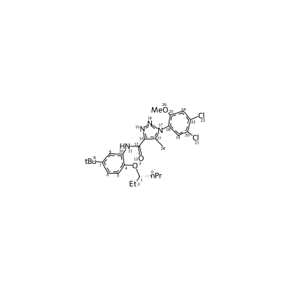 CCC[C@H](CC)Oc1ccc(C(C)(C)C)cc1NC(=O)c1nnn(-c2cc(Cl)c(Cl)cc2OC)c1C